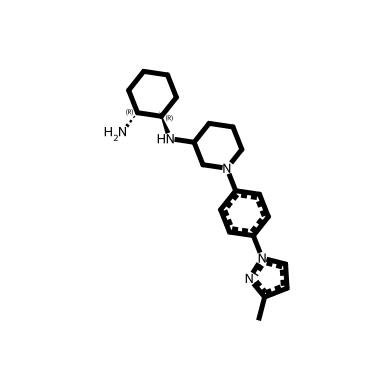 Cc1ccn(-c2ccc(N3CCCC(N[C@@H]4CCCC[C@H]4N)C3)cc2)n1